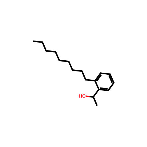 CCCCCCCCCc1ccccc1C(C)O